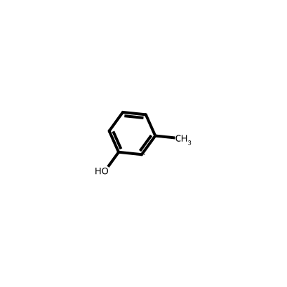 Cc1[c]c(O)ccc1